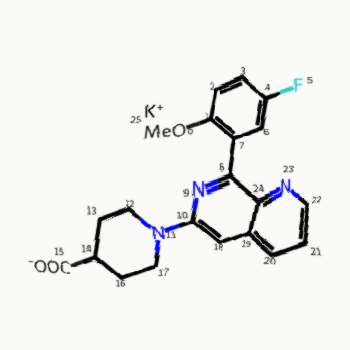 COc1ccc(F)cc1-c1nc(N2CCC(C(=O)[O-])CC2)cc2cccnc12.[K+]